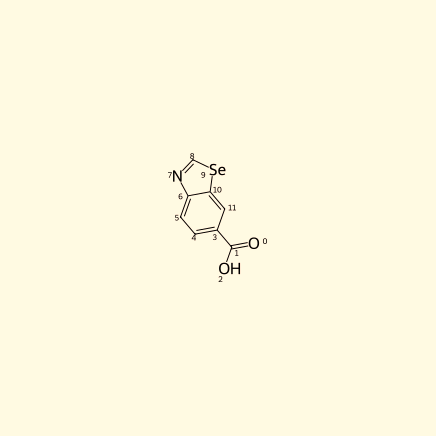 O=C(O)c1ccc2nc[se]c2c1